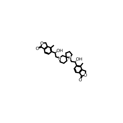 Cc1c([C@@H](O)CN2CCCC3(CCCN3C[C@H](O)c3ccc4c(c3C)COC4=O)C2)ccc2c1COC2=O